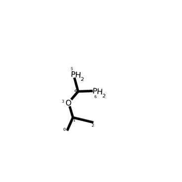 CC(C)OC(P)P